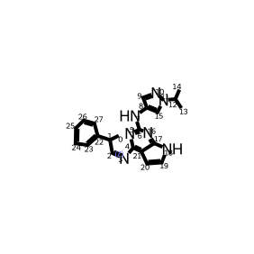 CC(/C=N\c1nc(Nc2cnn(C(C)C)c2)nc2[nH]ccc12)c1ccccc1